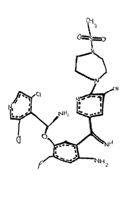 CS(=O)(=O)N1CCN(c2ncc(C(=N)c3cc(O[C@H](N)c4c(Cl)cncc4Cl)c(F)cc3N)cc2C#N)CC1